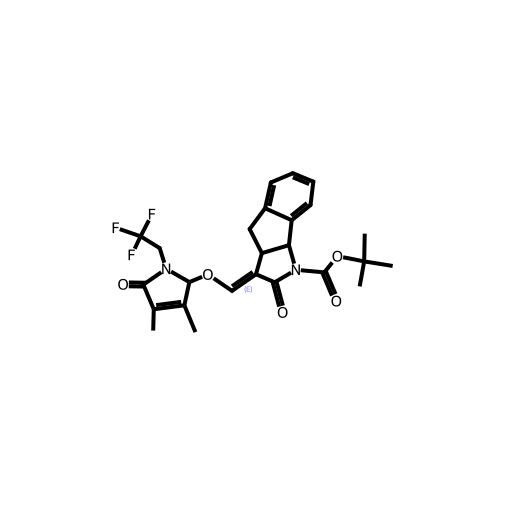 CC1=C(C)C(O/C=C2/C(=O)N(C(=O)OC(C)(C)C)C3c4ccccc4CC23)N(CC(F)(F)F)C1=O